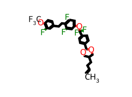 C/C=C/CCC1COC(c2ccc(C(F)(F)Oc3cc(F)c(CCc4ccc(OC(F)(F)F)c(F)c4)c(F)c3)cc2)OC1